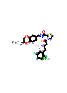 CCOC(=O)C1COc2cc(CNC(=O)C3SCCN3C(=O)C[C@H](N)Cc3cc(F)c(F)cc3F)ccc2O1.Cl